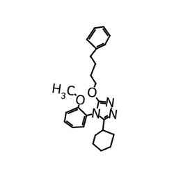 COc1ccccc1-n1c(OCCCCc2ccccc2)nnc1C1CCCCC1